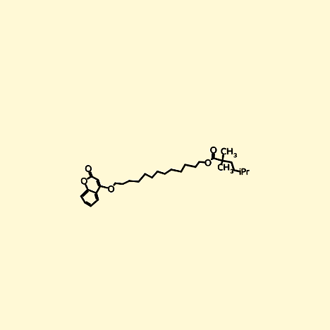 CC(C)CCC(C)(C)C(=O)OCCCCCCCCCCCCCOc1cc(=O)oc2ccccc12